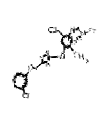 CCN(C)/C=N\c1cc(C)c(Oc2nc(COc3cccc(Cl)c3)ns2)cc1Cl